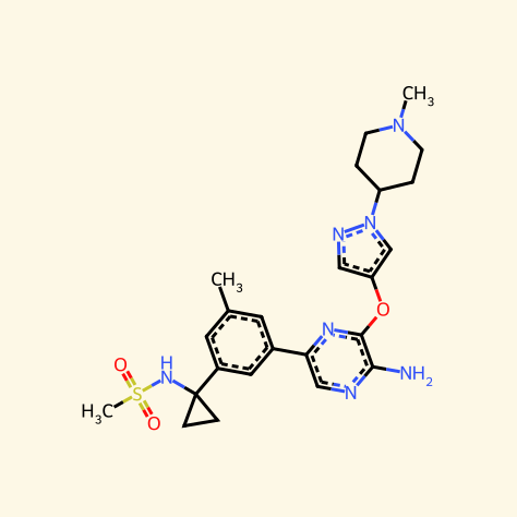 Cc1cc(-c2cnc(N)c(Oc3cnn(C4CCN(C)CC4)c3)n2)cc(C2(NS(C)(=O)=O)CC2)c1